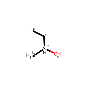 [CH2]C[SiH](O)[SiH3]